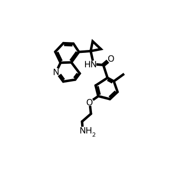 Cc1ccc(OCCN)cc1C(=O)NC1(c2cccc3ncccc23)CC1